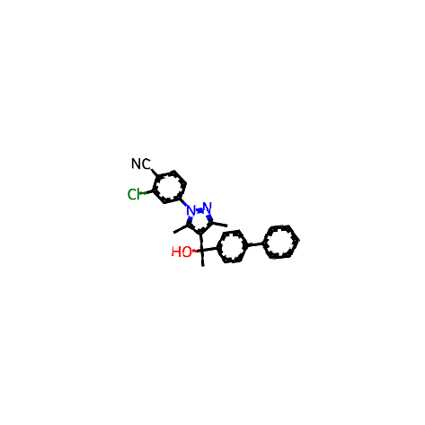 Cc1nn(-c2ccc(C#N)c(Cl)c2)c(C)c1C(C)(O)c1ccc(-c2ccccc2)cc1